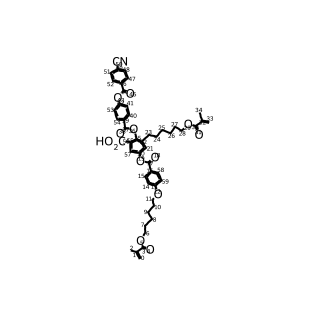 C=C(C)C(=O)OCCCCCCOc1ccc(C(=O)Oc2cc(CCCCCCOC(=O)C(=C)C)c(OC(=O)c3ccc(OC(=O)c4ccc(C#N)cc4)cc3)c(C(=O)O)c2)cc1